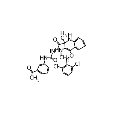 CNC1=C(OCc2c(Cl)cccc2Cl)c2ccccc2NC1(C)C(=O)CNC(=O)Nc1cccc(C(C)=O)c1